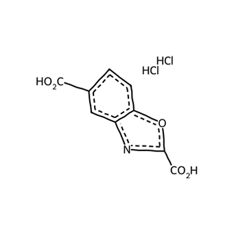 Cl.Cl.O=C(O)c1ccc2oc(C(=O)O)nc2c1